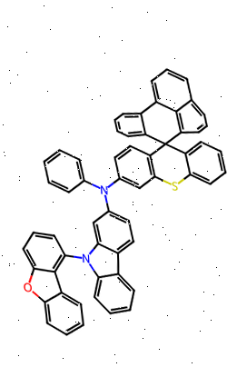 c1ccc(N(c2ccc3c(c2)Sc2ccccc2C32c3ccccc3-c3cccc4cccc2c34)c2ccc3c4ccccc4n(-c4cccc5oc6ccccc6c45)c3c2)cc1